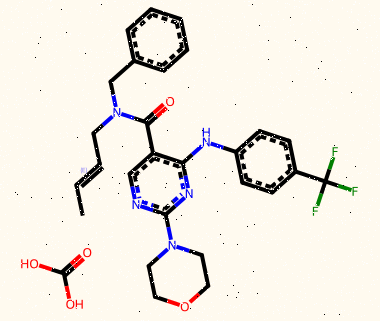 C/C=C/CN(Cc1ccccc1)C(=O)c1cnc(N2CCOCC2)nc1Nc1ccc(C(F)(F)F)cc1.O=C(O)O